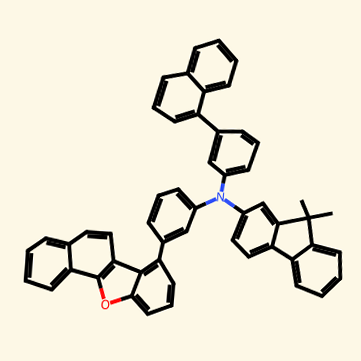 CC1(C)c2ccccc2-c2ccc(N(c3cccc(-c4cccc5ccccc45)c3)c3cccc(-c4cccc5oc6c7ccccc7ccc6c45)c3)cc21